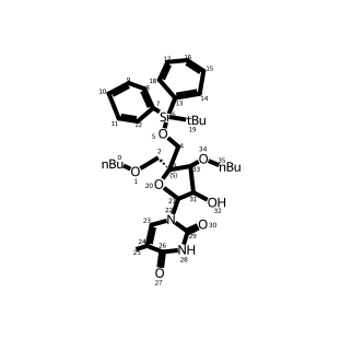 CCCCOC[C@@]1(CO[Si](c2ccccc2)(c2ccccc2)C(C)(C)C)OC(n2cc(C)c(=O)[nH]c2=O)C(O)C1OCCCC